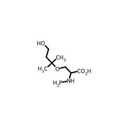 CC(C)(CCO)OCC(NP)C(=O)O